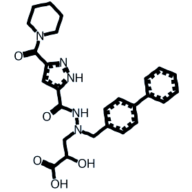 O=C(NN(Cc1ccc(-c2ccccc2)cc1)CC(O)C(=O)O)c1cc(C(=O)N2CCCCC2)n[nH]1